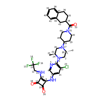 C[C@@H]1CN(c2ncc(Nc3c(NCC(F)(F)F)c(=O)c3=O)cc2Cl)[C@@H](C)CN1C1CCN(C(=O)C2CCc3ccccc3C2)CC1